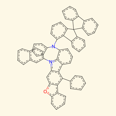 c1ccc(-c2c3c(cc4c2c2cccc(N(c5ccccc5)c5cccc6c5-c5ccccc5C65c6ccccc6-c6ccccc65)c2n4-c2ccc4ccccc4c2)oc2ccccc23)cc1